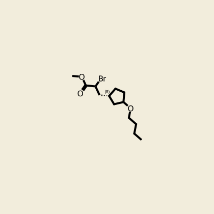 CCCCOC1CC[C@@H](CC(Br)C(=O)OC)C1